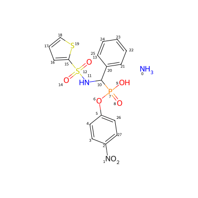 N.O=[N+]([O-])c1ccc(OP(=O)(O)C(NS(=O)(=O)c2cccs2)c2ccccc2)cc1